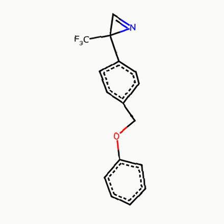 FC(F)(F)C1(c2ccc(COc3ccccc3)cc2)C=N1